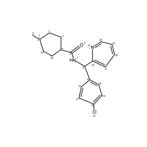 CN1CCC(C(=O)NC(c2ccc(Cl)cc2)c2ccccn2)CC1